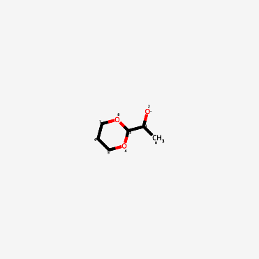 CC([O])C1OCCCO1